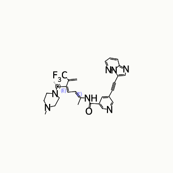 C=C(/C(=C\C=C(/C)NC(=O)c1cncc(C#Cc2cnc3cccnn23)c1)[C@@H](C)N1CCN(C)CC1)C(F)(F)F